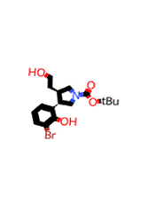 CC(C)(C)OC(=O)N1C[C@H](CCO)[C@@H](c2cccc(Br)c2O)C1